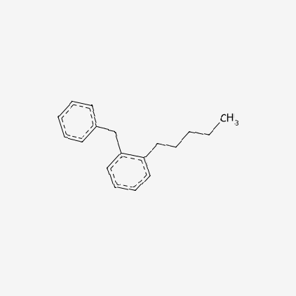 CCCCCc1ccccc1Cc1ccccc1